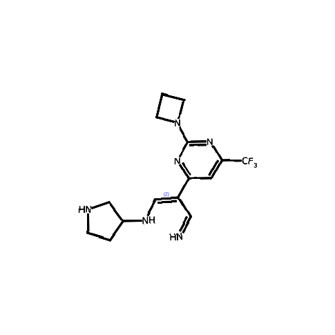 N=C/C(=C\NC1CCNC1)c1cc(C(F)(F)F)nc(N2CCC2)n1